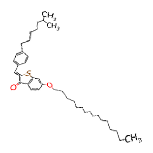 CCCCCCCCCCCCCCCCOc1ccc2c(c1)SC(=Cc1ccc(CCCCCC(C)C)cc1)C2=O